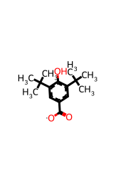 CC(C)(C)c1cc(C([O])=O)cc(C(C)(C)C)c1O